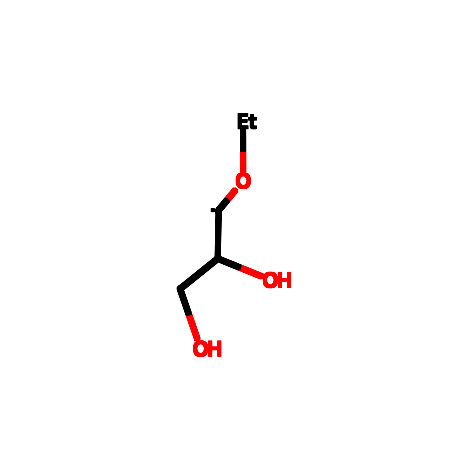 CCO[CH]C(O)CO